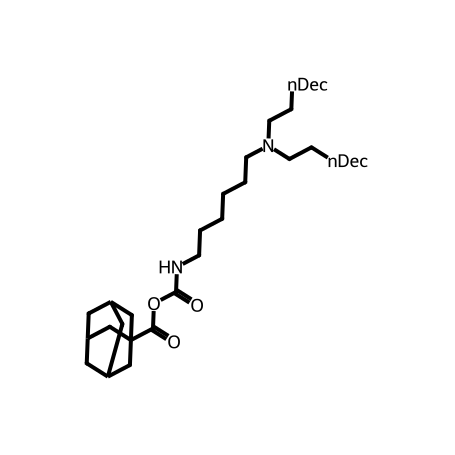 CCCCCCCCCCCCN(CCCCCCCCCCCC)CCCCCCNC(=O)OC(=O)C12CC3CC(CC(C3)C1)C2